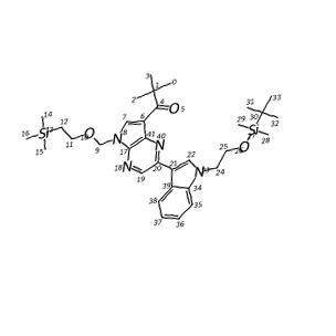 CC(C)(C)C(=O)c1cn(COCC[Si](C)(C)C)c2ncc(-c3cn(CCO[Si](C)(C)C(C)(C)C)c4ccccc34)nc12